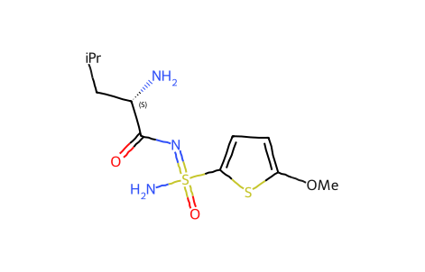 COc1ccc(S(N)(=O)=NC(=O)[C@@H](N)CC(C)C)s1